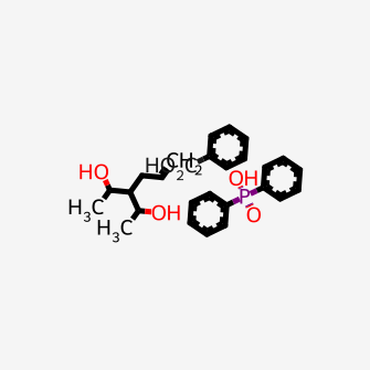 C=CCC(C(C)O)C(C)O.O=C(O)c1ccccc1.O=P(O)(c1ccccc1)c1ccccc1